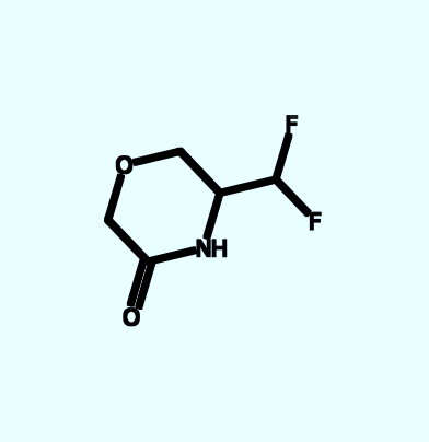 O=C1COCC(C(F)F)N1